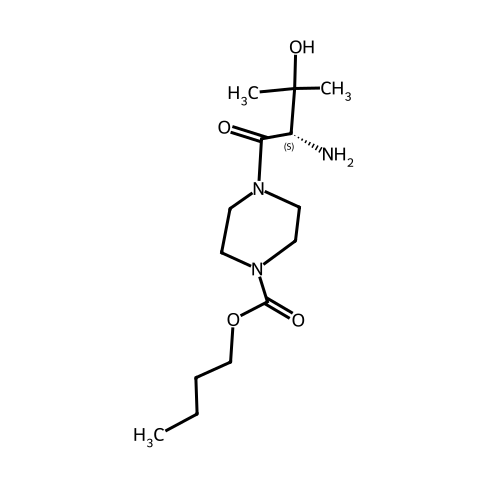 CCCCOC(=O)N1CCN(C(=O)[C@@H](N)C(C)(C)O)CC1